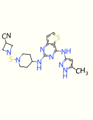 Cc1cc(Nc2nc(NC3CCN(SN4CC(C#N)C4)CC3)nc3ccsc23)n[nH]1